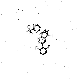 CC1(C)[C@H]2CC[C@]1(c1ccnc(S(C)(=O)=O)n1)c1nnc(-c3c(F)cccc3F)cc12